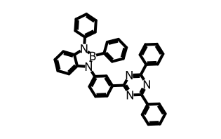 c1ccc(B2N(c3ccccc3)c3ccccc3N2c2cccc(-c3nc(-c4ccccc4)nc(-c4ccccc4)n3)c2)cc1